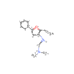 CCOC(=O)c1oc(-c2ccccc2)cc1/N=C/N(C)C